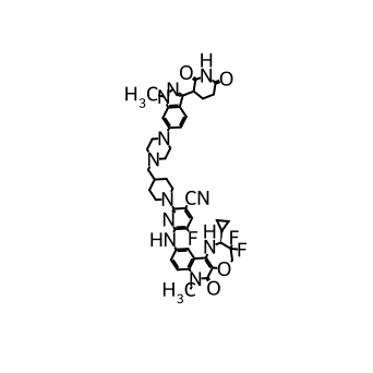 Cn1nc(C2CCC(=O)NC2=O)c2ccc(N3CCN(CC4CCN(c5nc(Nc6ccc7c(c6)c6c(c(=O)n7C)OCC(F)(F)[C@H](C7CC7)N6)c(F)cc5C#N)CC4)CC3)cc21